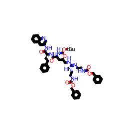 CC(C)(C)OC(=O)NC(CCCN/C(=N/CCNC(=O)OCc1ccccc1)NCCNC(=O)OCc1ccccc1)C(=O)N[C@@H](CCc1ccccc1)C(=O)Nc1cnc2ccccc2c1